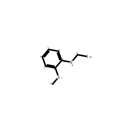 CSc1ccccc1SCI